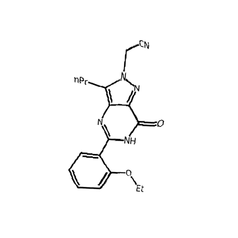 CCCc1c2nc(-c3ccccc3OCC)[nH]c(=O)c2nn1CC#N